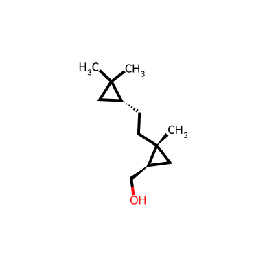 CC1(C)C[C@H]1CC[C@]1(C)C[C@H]1CO